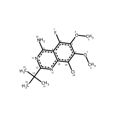 COc1c(OC)c(F)c2c(N)nc(C(C)(C)C)nc2c1Cl